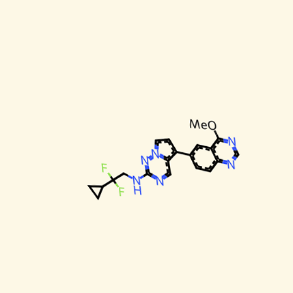 COc1ncnc2ccc(-c3ccn4nc(NCC(F)(F)C5CC5)ncc34)cc12